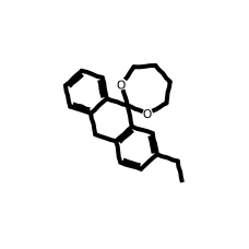 CCc1ccc2c(c1)C1(OCCCCO1)c1ccccc1C2